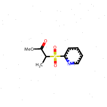 COC(=O)C(C)S(=O)(=O)c1ccccn1